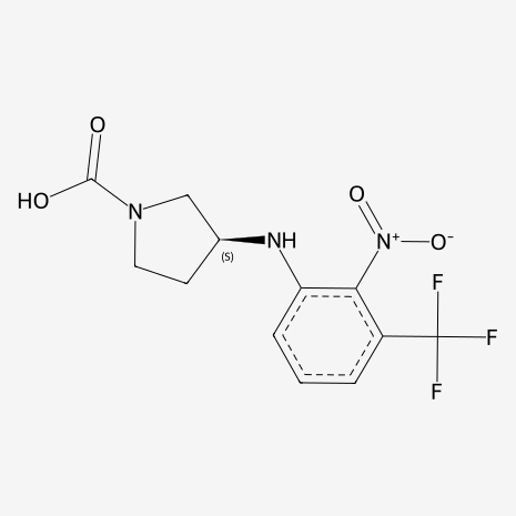 O=C(O)N1CC[C@H](Nc2cccc(C(F)(F)F)c2[N+](=O)[O-])C1